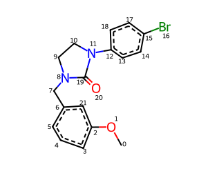 COc1cccc(CN2CCN(c3ccc(Br)cc3)C2=O)c1